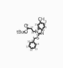 Cc1ccc2nc(SCc3ccccc3)n(CCC(=O)OC(C)(C)C)c2c1